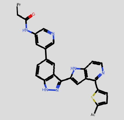 CC(=O)c1ccc(-c2nccc3[nH]c(-c4n[nH]c5ccc(-c6cncc(NC(=O)CC(C)C)c6)cc45)cc23)s1